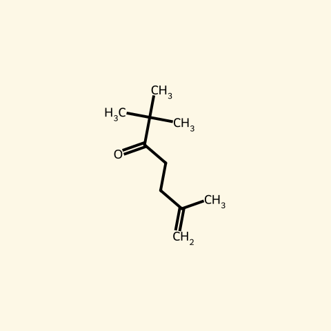 C=C(C)CCC(=O)C(C)(C)C